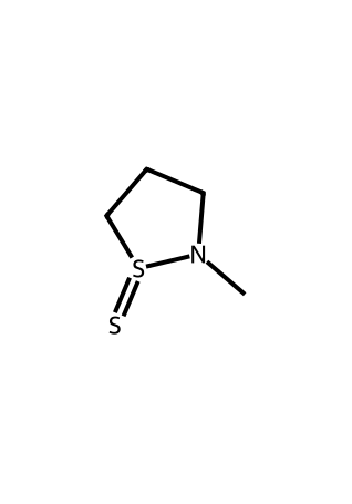 CN1CCCS1=S